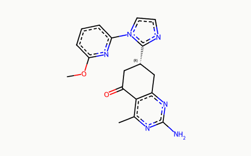 COc1cccc(-n2ccnc2[C@H]2CC(=O)c3c(C)nc(N)nc3C2)n1